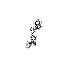 O=C(CCN1CCN([S+]([O-])N2CCOCC2)CC1)N1CCc2ccccc21